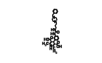 CC1=C(C(=O)O)C(c2cccc(NC(=O)NCCCN3CCN(Cc4ccccc4)CC3)c2)C(C(=O)O)=C(C)N1